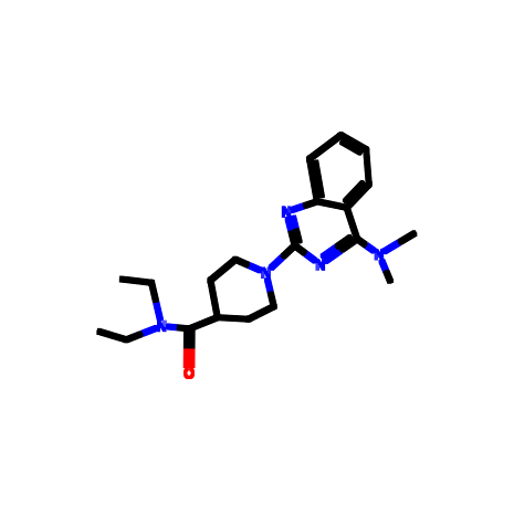 CCN(CC)C(=O)C1CCN(c2nc(N(C)C)c3ccccc3n2)CC1